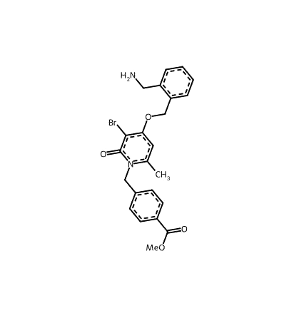 COC(=O)c1ccc(Cn2c(C)cc(OCc3ccccc3CN)c(Br)c2=O)cc1